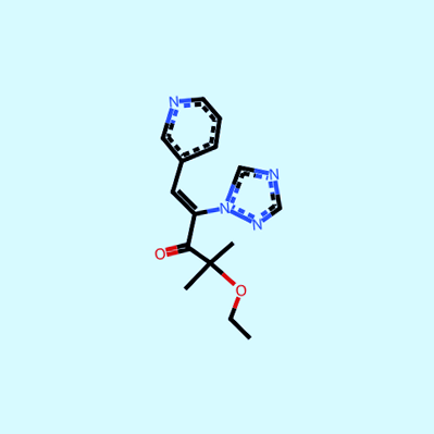 CCOC(C)(C)C(=O)/C(=C/c1cccnc1)n1cncn1